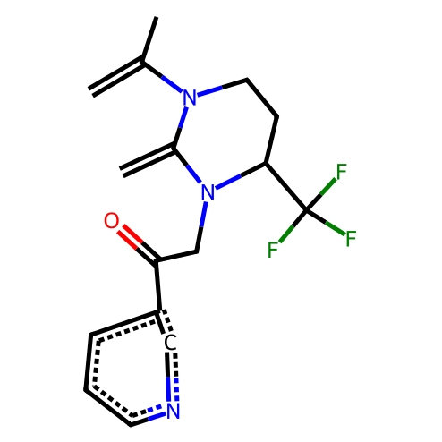 C=C(C)N1CCC(C(F)(F)F)N(CC(=O)c2cccnc2)C1=C